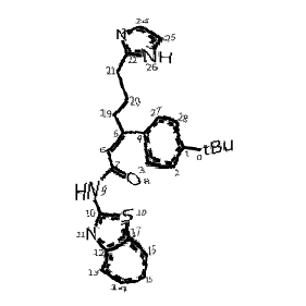 CC(C)(C)c1ccc(C(=CC(=O)Nc2nc3ccccc3s2)CCCc2ncc[nH]2)cc1